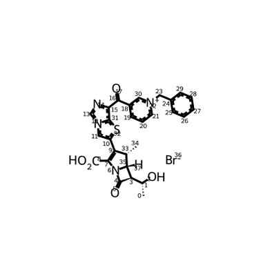 C[C@@H](O)[C@H]1C(=O)N2C(C(=O)O)=C(c3cn4cnc(C(=O)c5ccc[n+](Cc6ccccc6)c5)c4s3)[C@H](C)[C@H]12.[Br-]